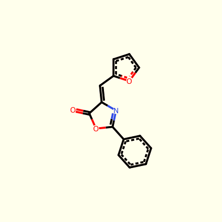 O=C1OC(c2ccccc2)=NC1=Cc1ccco1